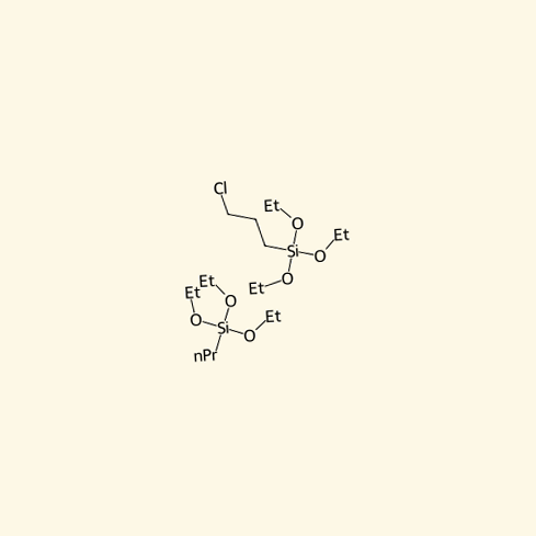 CCC[Si](OCC)(OCC)OCC.CCO[Si](CCCCl)(OCC)OCC